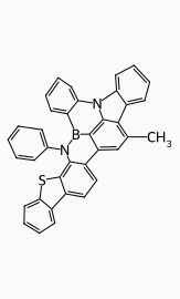 Cc1cc2c3c4c1c1ccccc1n4-c1ccccc1B3N(c1ccccc1)c1c-2ccc2c1sc1ccccc12